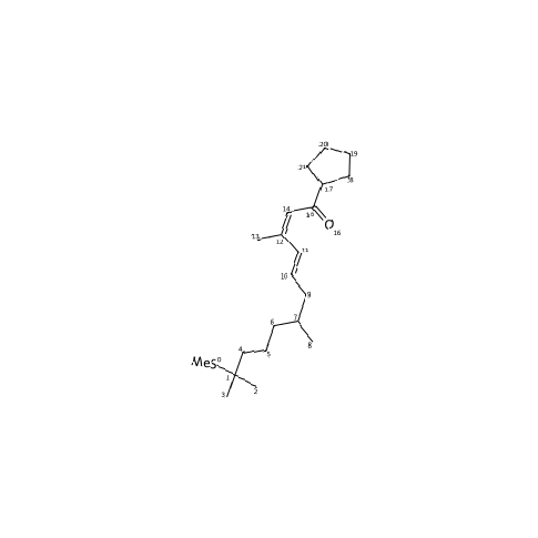 CSC(C)(C)CCCC(C)CC=CC(C)=CC(=O)C1CCCC1